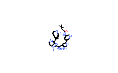 CC(C)(C)CC(=O)Nc1cncc(-c2cc3c(-c4nc5c(-c6ccncc6)nccc5[nH]4)n[nH]c3cn2)c1